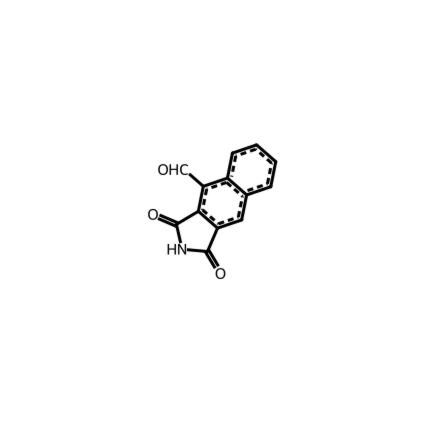 O=Cc1c2c(cc3ccccc13)C(=O)NC2=O